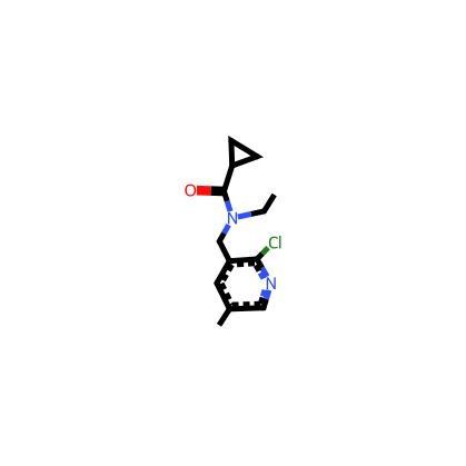 CCN(Cc1cc(C)cnc1Cl)C(=O)C1CC1